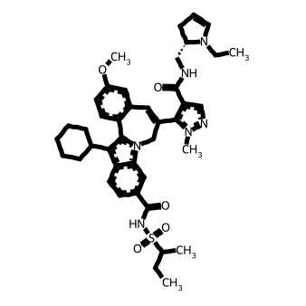 CCC(C)S(=O)(=O)NC(=O)c1ccc2c(C3CCCCC3)c3n(c2c1)CC(c1c(C(=O)NC[C@@H]2CC=CN2CC)cnn1C)=Cc1cc(OC)ccc1-3